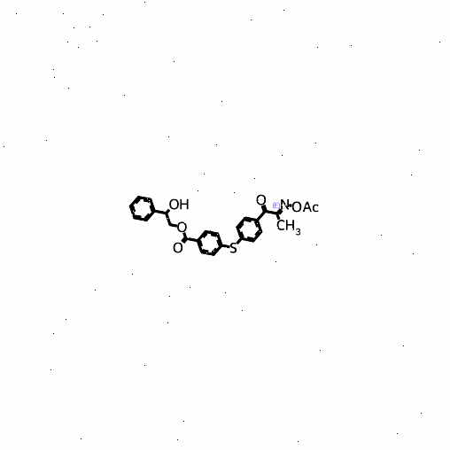 CC(=O)O/N=C(\C)C(=O)c1ccc(Sc2ccc(C(=O)OCC(O)c3ccccc3)cc2)cc1